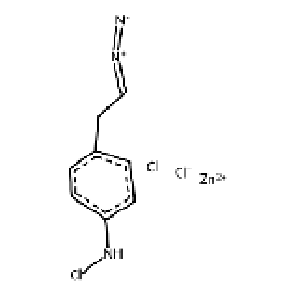 [Cl-].[Cl-].[N-]=[N+]=CCc1ccc(NCl)cc1.[Zn+2]